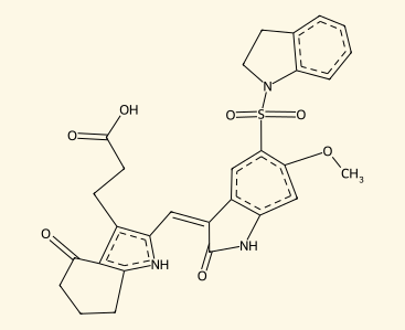 COc1cc2c(cc1S(=O)(=O)N1CCc3ccccc31)C(=Cc1[nH]c3c(c1CCC(=O)O)C(=O)CCC3)C(=O)N2